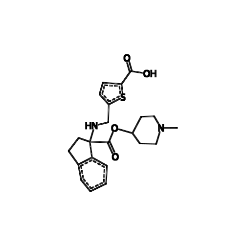 CN1CCC(OC(=O)C2(NCc3ccc(C(=O)O)s3)CCc3ccccc32)CC1